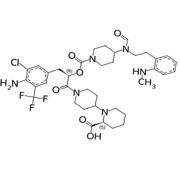 CNc1ccccc1CCN(C=O)C1CCN(C(=O)O[C@H](Cc2cc(Cl)c(N)c(C(F)(F)F)c2)C(=O)N2CCC(N3CCCC[C@H]3C(=O)O)CC2)CC1